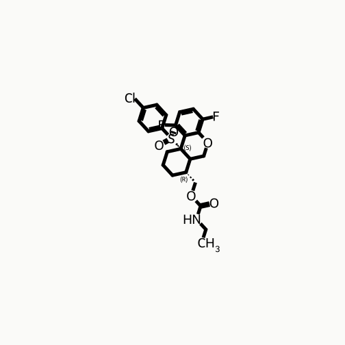 CCNC(=O)OC[C@@H]1CCC[C@@]2(S(=O)(=O)c3ccc(Cl)cc3)c3c(F)ccc(F)c3OCC12